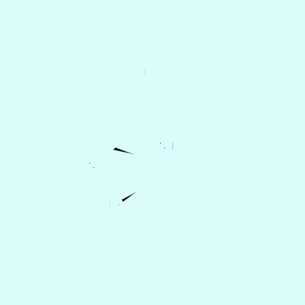 OC[C@@H](N[C@H](CN1CCCC1)[C@H](O)c1ccc(C(F)(F)F)cc1)c1ccccc1